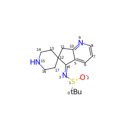 CC(C)(C)[S@@+]([O-])N=C1c2cccnc2CC12CCNCC2